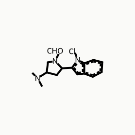 CN(C)C1CC(c2cc3ccccc3n2Cl)N(C=O)C1